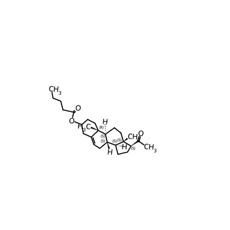 CCCCC(=O)OC1CC[C@@]2(C)C(=CC[C@H]3[C@@H]4CC[C@H](C(C)=O)[C@@]4(C)CC[C@@H]32)C1